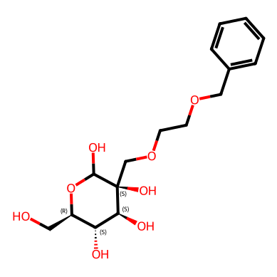 OC[C@H]1OC(O)[C@](O)(COCCOCc2ccccc2)[C@@H](O)[C@@H]1O